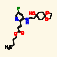 CCCCOC(=O)C=Cc1ncc(F)cc1NCCC1(O)CCC2(CC1)OCCO2